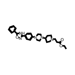 CCOC(=O)CCN1CCC(N2CCN(c3ccc(C4=NOC(c5ccccc5)N4)cc3)CC2)CC1